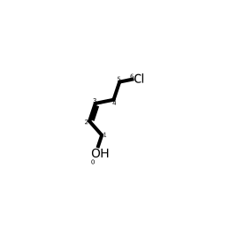 OC/C=C\CCCl